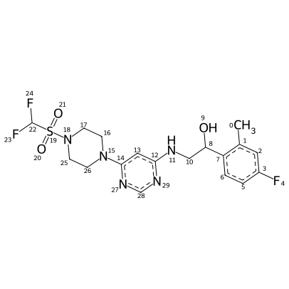 Cc1cc(F)ccc1C(O)CNc1cc(N2CCN(S(=O)(=O)C(F)F)CC2)ncn1